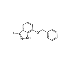 Ic1n[nH]c2c(OCc3ccccc3)cccc12